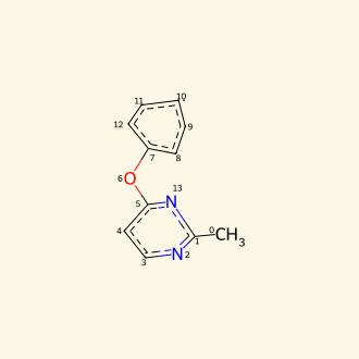 Cc1nccc(Oc2cc[c]cc2)n1